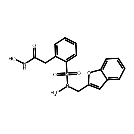 CN(Cc1cc2ccccc2o1)S(=O)(=O)c1ccccc1CC(=O)NO